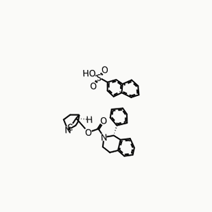 O=C(O[C@H]1CN2CCC1CC2)N1CCc2ccccc2[C@H]1c1ccccc1.O=S(=O)(O)c1ccc2ccccc2c1